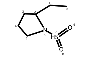 CCC1CCCN1[SH](=O)=O